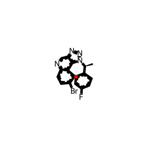 C[C@@H](c1ccc(F)cc1)n1nnc2cnc3ccc(Br)cc3c21